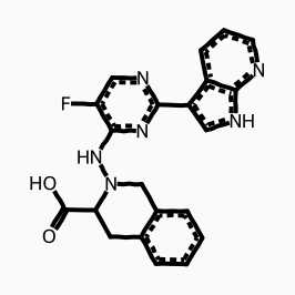 O=C(O)C1Cc2ccccc2CN1Nc1nc(-c2c[nH]c3ncccc23)ncc1F